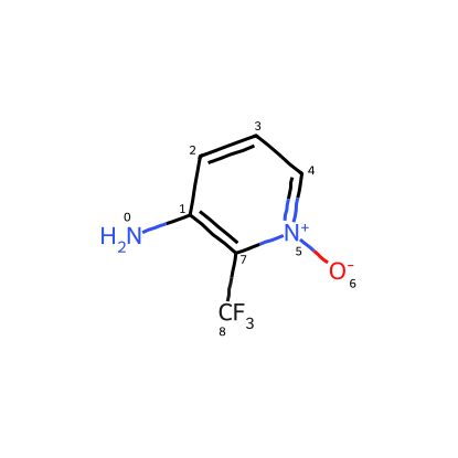 Nc1ccc[n+]([O-])c1C(F)(F)F